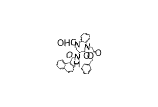 O=CN1CC(NC(=O)c2cccc3ccccc23)C(=O)N(CC(=O)OCc2ccccc2)c2ccccc21